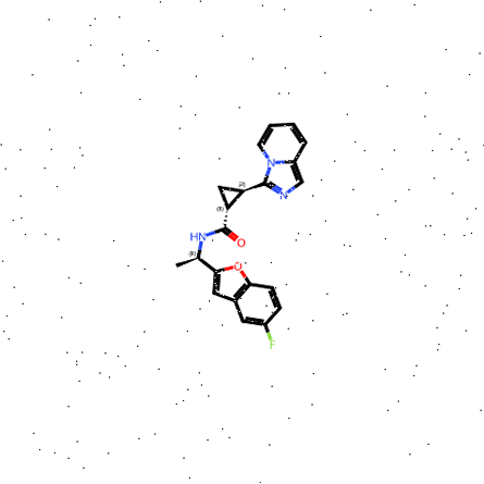 C[C@@H](NC(=O)[C@@H]1C[C@H]1c1ncc2ccccn12)c1cc2cc(F)ccc2o1